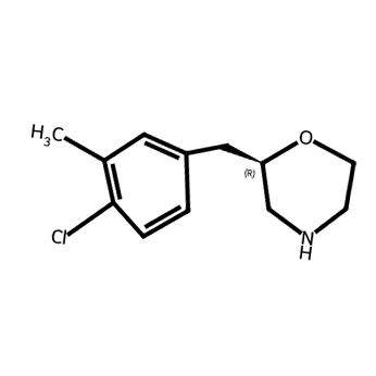 Cc1cc(C[C@@H]2CNCCO2)ccc1Cl